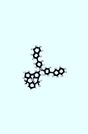 CC1(C)c2cccc3c2-n2c4c1cccc4c1cc(N(c4ccc(-c5ccc6ccccc6c5)cc4)c4ccc(-c5ccc6ccccc6c5)cc4)cc(c12)C3(C)C